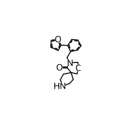 O=C1N(Cc2ccccc2-c2ccco2)CCCC12CCNCC2